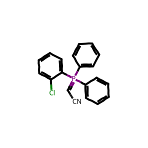 N#CC=P(c1ccccc1)(c1ccccc1)c1ccccc1Cl